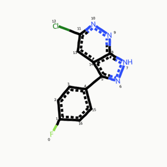 Fc1ccc(-c2n[nH]c3nnc(Cl)cc23)cc1